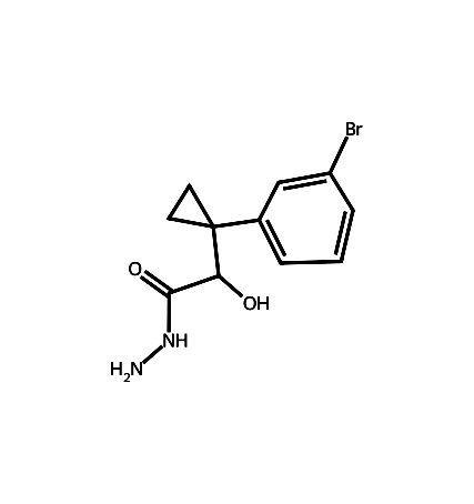 NNC(=O)C(O)C1(c2cccc(Br)c2)CC1